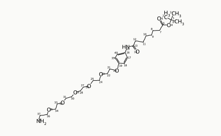 CC(C)(C)OC(=O)CCCCCCC(=O)Nc1ccc(OCCOCCOCCOCCOCCOCCN)cc1